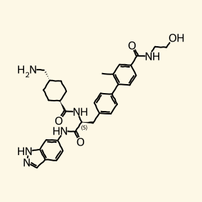 Cc1cc(C(=O)NCCO)ccc1-c1ccc(C[C@H](NC(=O)[C@H]2CC[C@H](CN)CC2)C(=O)Nc2ccc3cn[nH]c3c2)cc1